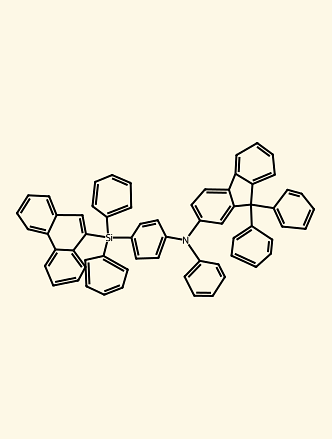 c1ccc(N(c2ccc([Si](c3ccccc3)(c3ccccc3)c3cc4ccccc4c4ccccc34)cc2)c2ccc3c(c2)C(c2ccccc2)(c2ccccc2)c2ccccc2-3)cc1